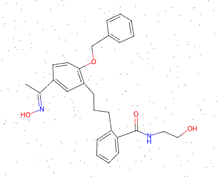 CC(=NO)c1ccc(OCc2ccccc2)c(CCCc2ccccc2C(=O)NCCO)c1